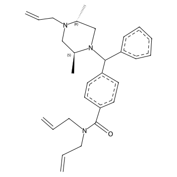 C=CCN(CC=C)C(=O)c1ccc(C(c2ccccc2)N2C[C@@H](C)N(CC=C)C[C@@H]2C)cc1